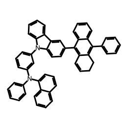 C1=Cc2c(c(-c3ccccc3)c3ccccc3c2-c2ccc3c(c2)c2ccccc2n3-c2cccc(N(c3ccccc3)c3cccc4ccccc34)c2)CC1